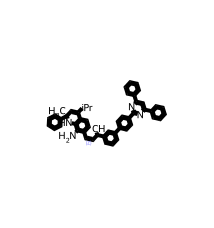 CC(C)C1=CC(C)(c2ccccc2)Nc2c1ccc(/C=C\C(C)c1cccc(-c3ccc(-c4nc(-c5ccccc5)cc(-c5ccccc5)n4)cc3)c1)c2N